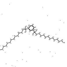 CCCCCCCCCCCCCC(C)(C)c1[c]ccc(C(C)(C)CCCCCCCCCCCCC)c1